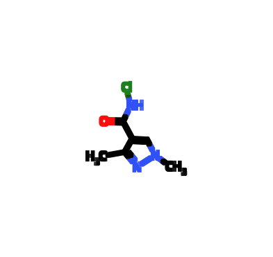 Cc1nn(C)cc1C(=O)NCl